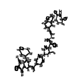 Cc1cc(-c2ncc(N(C)c3cc(C4CCOCC4)c4c(c3)n(C)c(=O)n4C)cn2)cnc1C(=O)NCC#Cc1ccc2occ([C@H]3CCC(=O)NC3=O)c2c1